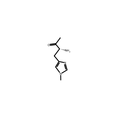 CC(=O)[C@H](N)Cc1cn(C)cn1